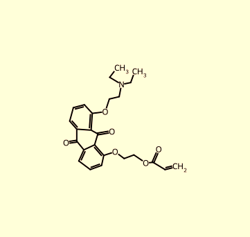 C=CC(=O)OCCOc1cccc2c1C(=O)c1c(OCCN(CC)CC)cccc1C2=O